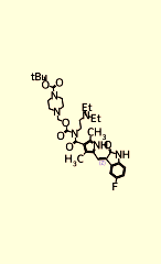 CCN(CC)CCN(C(=O)OCN1CCN(C(=O)OC(C)(C)C)CC1)C(=O)c1c(C)[nH]c(/C=C2\C(=O)Nc3ccc(F)cc32)c1C